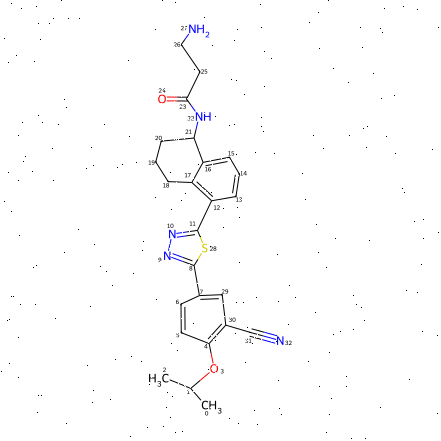 CC(C)Oc1ccc(-c2nnc(-c3cccc4c3CCCC4NC(=O)CCN)s2)cc1C#N